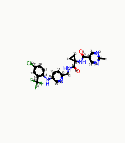 Cc1ncc(C(=O)NC2(C(=O)NCc3ccc(Nc4ccc(Cl)cc4C(F)(F)F)cn3)CC2)cn1